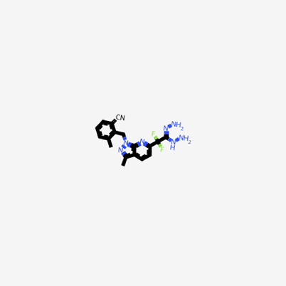 Cc1cccc(C#N)c1Cn1nc(C)c2ccc(C(F)(F)/C(=N/N)NN)nc21